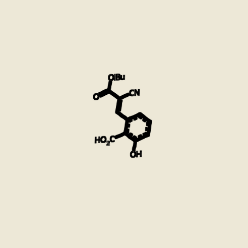 CC(C)COC(=O)/C(C#N)=C/c1cccc(O)c1C(=O)O